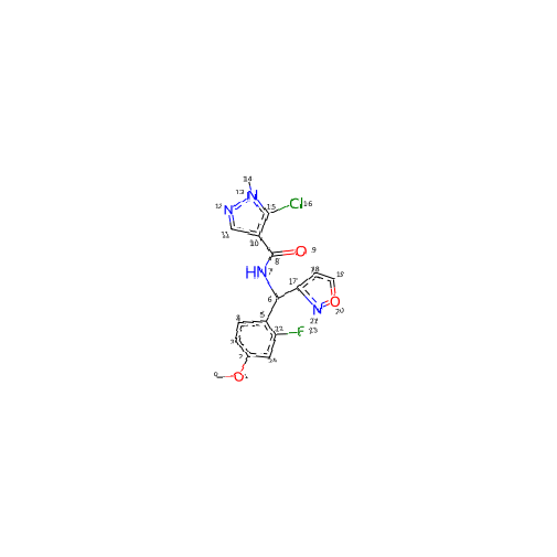 COc1ccc(C(NC(=O)c2cnn(C)c2Cl)c2ccon2)c(F)c1